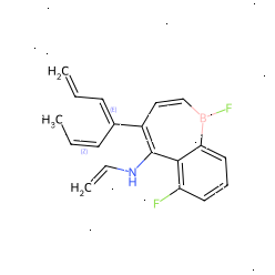 C=C/C=C(\C=C/C)C1=C(NC=C)c2c(F)cccc2B(F)C=C1